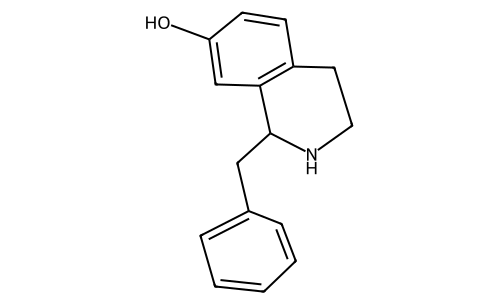 Oc1ccc2c(c1)C(Cc1ccccc1)NCC2